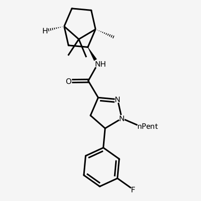 CCCCCN1N=C(C(=O)N[C@H]2C[C@H]3CC[C@]2(C)C3(C)C)CC1c1cccc(F)c1